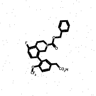 O=C(O)Cc1ccc(OC(F)(F)F)c(-c2ccc(F)c3c2CN(C(=O)OCc2ccccc2)CC3)c1